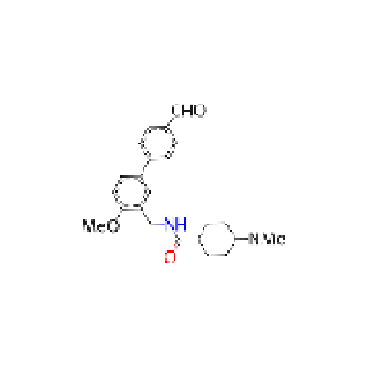 CNC1CCC(C(=O)NCc2cc(-c3ccc(C=O)cc3)ccc2OC)CC1